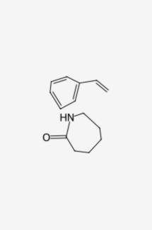 C=Cc1ccccc1.O=C1CCCCCN1